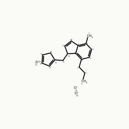 CCCc1ccc(C)c2c1C(CC1=CC=CC1)C=C2.[Cl-].[Cl-].[Zr+2]